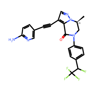 C[C@H]1CN(c2ccc(C(F)C(F)(F)F)cc2)C(=O)c2c(C#Cc3ccc(N)nc3)cnn21